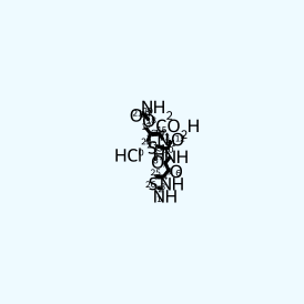 Cl.N=c1[nH]c(C(=O)C(=O)NC2C(=O)N3C(C(=O)O)=C(COC(N)=O)CS[C@@H]23)cs1